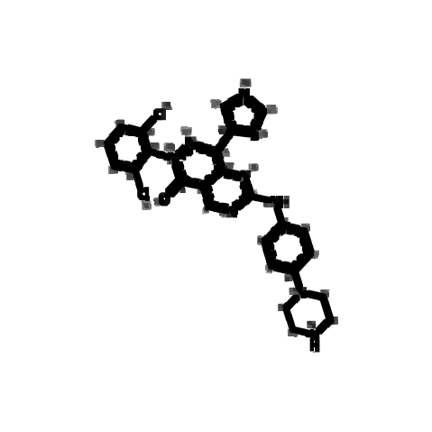 O=c1c2cnc(Nc3ccc(N4CCNCC4)cc3)nc2c(-c2cncs2)nn1-c1c(Cl)cccc1Cl